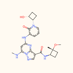 CNc1cc(Nc2cccn([C@H]3CC[C@H]3O)c2=O)nc2c(C(=O)N[C@@H]3CC[C@@]3(C)OC)cnn12